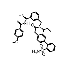 CCC(C)N(Cc1cccc(C(=N)NC(=S)c2ccc(OC)cc2)c1)C(=O)Cc1ccc(-c2ccccc2S(N)(=O)=O)cc1